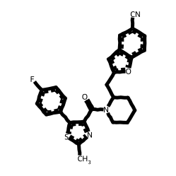 Cc1nc(C(=O)N2CCCCC2Cc2cc3cc(C#N)ccc3o2)c(-c2ccc(F)cc2)s1